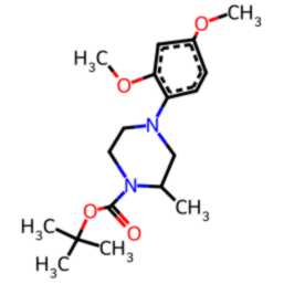 COc1ccc(N2CCN(C(=O)OC(C)(C)C)C(C)C2)c(OC)c1